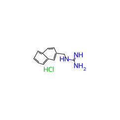 Cl.N=C(N)NCc1ccc2ccccc2c1